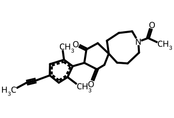 CC#Cc1cc(C)c(C2C(=O)CC3(CCCN(C(C)=O)CCC3)CC2=O)c(C)c1